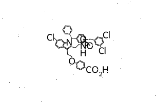 O=C(O)c1ccc(OCCc2c(CCNS(=O)(=O)Cc3cc(Cl)cc(Cl)c3)n(C(c3ccccc3)c3ccccc3)c3cc(Cl)ccc23)cc1